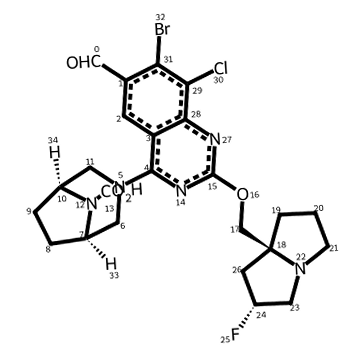 O=Cc1cc2c(N3C[C@H]4CC[C@@H](C3)N4C(=O)O)nc(OC[C@@]34CCCN3C[C@H](F)C4)nc2c(Cl)c1Br